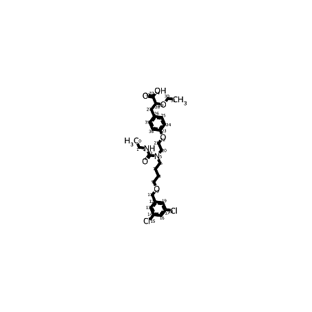 CCNC(=O)N(CCCCOCc1cc(Cl)cc(Cl)c1)CCOc1ccc(CC(OCC)C(=O)O)cc1